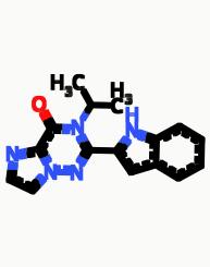 CC(C)n1c(-c2cc3ccccc3[nH]2)nn2ccnc2c1=O